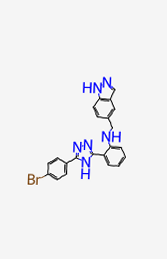 Brc1ccc(-c2nnc(-c3ccccc3NCc3ccc4[nH]ncc4c3)[nH]2)cc1